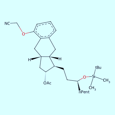 CCCCC[C@@H](CC[C@@H]1[C@H]2Cc3cccc(OCC#N)c3C[C@H]2C[C@H]1OC(C)=O)O[Si](C)(C)C(C)(C)C